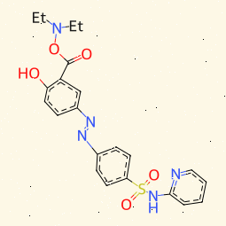 CCN(CC)OC(=O)c1cc(N=Nc2ccc(S(=O)(=O)Nc3ccccn3)cc2)ccc1O